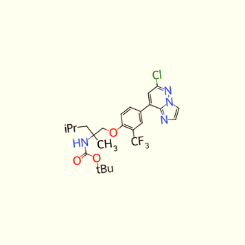 CC(C)CC(C)(COc1ccc(-c2cc(Cl)nn3ccnc23)cc1C(F)(F)F)NC(=O)OC(C)(C)C